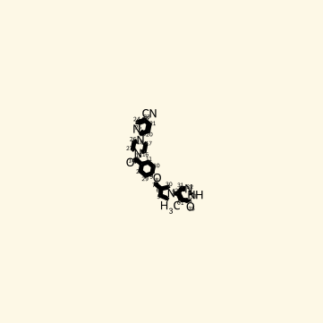 Cc1c(N2CCC(COC3CCC(C(=O)N4CCN(c5ccc(C#N)cn5)CC4)CC3)C2)cn[nH]c1=O